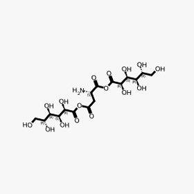 N[C@@H](CC(=O)OC(=O)[C@H](O)[C@@H](O)[C@H](O)[C@H](O)CO)C(=O)OC(=O)[C@H](O)[C@@H](O)[C@H](O)[C@H](O)CO